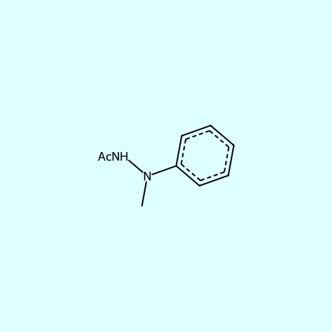 CC(=O)NN(C)c1ccccc1